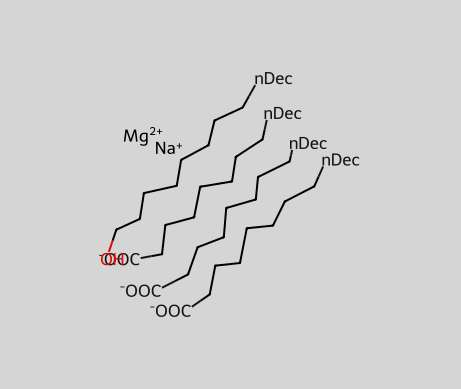 CCCCCCCCCCCCCCCCCC(=O)[O-].CCCCCCCCCCCCCCCCCC(=O)[O-].CCCCCCCCCCCCCCCCCC(=O)[O-].CCCCCCCCCCCCCCCCCCO.[Mg+2].[Na+]